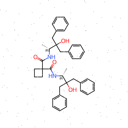 C[C@@H](NC(=O)C1(C(=O)N[C@H](C)C(O)(Cc2ccccc2)Cc2ccccc2)CCC1)C(O)(Cc1ccccc1)Cc1ccccc1